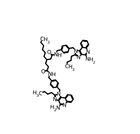 CCCCCCC(CCC(=O)NCc1ccc(Cn2c(CCCC)nc3c(N)nc4ccccc4c32)cc1)CC(=O)NCc1ccc(Cn2c(CCCC)nc3c(N)nc4ccccc4c32)cc1